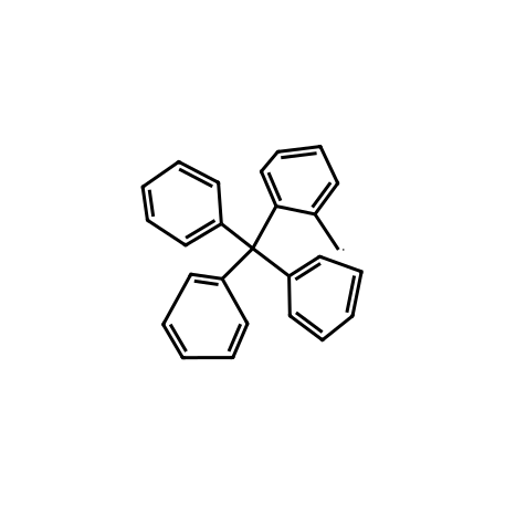 [CH2]c1ccccc1C(c1ccccc1)(c1ccccc1)c1ccccc1